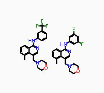 Cc1cccc2c(Nc3cc(F)cc(F)c3)ncc(CN3CCOCC3)c12.Cc1cccc2c(Nc3cccc(C(F)(F)F)c3)ncc(CN3CCOCC3)c12